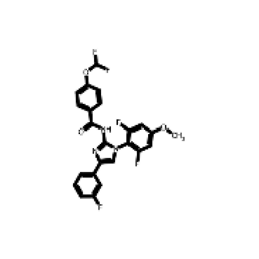 COc1cc(F)c(-n2cc(-c3cccc(F)c3)nc2NC(=O)c2ccc(OC(F)F)cc2)c(F)c1